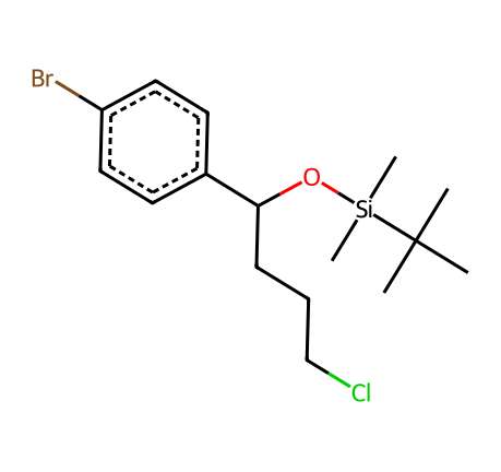 CC(C)(C)[Si](C)(C)OC(CCCCl)c1ccc(Br)cc1